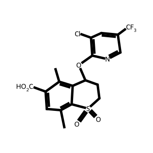 Cc1cc(C(=O)O)c(C)c2c1S(=O)(=O)CCC2Oc1ncc(C(F)(F)F)cc1Cl